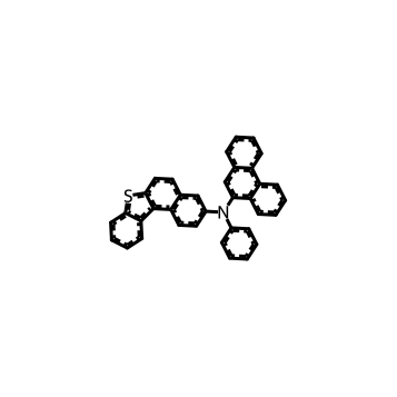 c1ccc(N(c2ccc3c(ccc4sc5ccccc5c43)c2)c2cc3ccccc3c3ccccc23)cc1